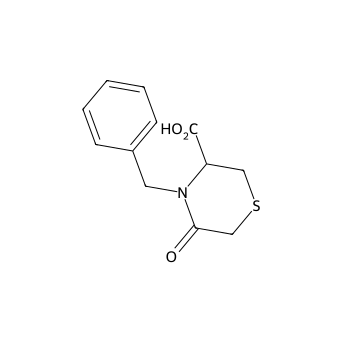 O=C(O)C1CSCC(=O)N1Cc1ccccc1